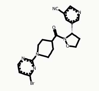 N#Cc1cncc([C@@H]2CCON2C(=O)C2CCN(c3nccc(Br)n3)CC2)c1